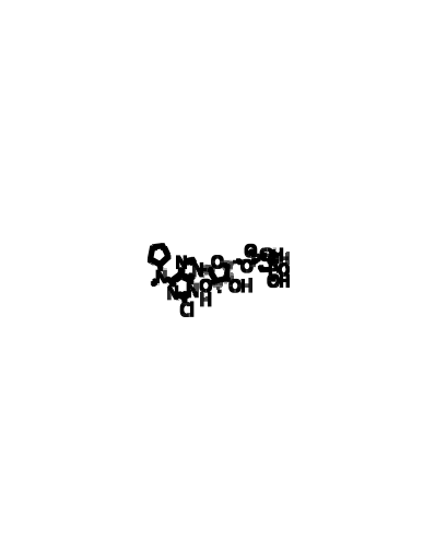 CN(c1nc(Cl)nc2c1ncn2[C@@H]1O[C@H](COP(=O)(O)CP(=O)(O)O)[C@@H](O)[C@@]1(C)O)C1CCCC1